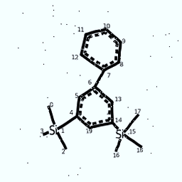 C[Si](C)(C)c1cc(-c2ccccc2)cc([Si](C)(C)C)c1